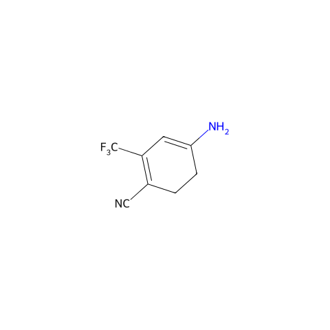 N#CC1=C(C(F)(F)F)C=C(N)CC1